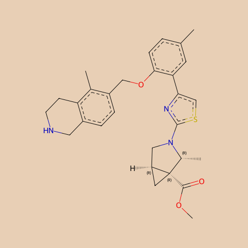 COC(=O)[C@]12C[C@H]1CN(c1nc(-c3cc(C)ccc3OCc3ccc4c(c3C)CCNC4)cs1)[C@@H]2C